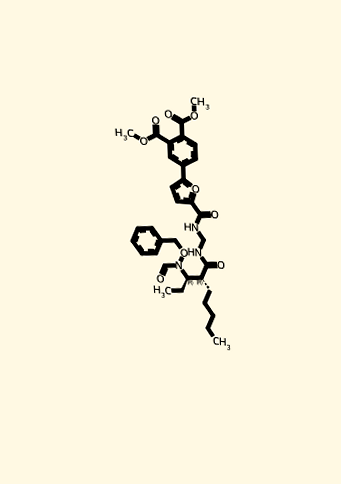 CCCCC[C@@H](C(=O)NCNC(=O)c1ccc(-c2ccc(C(=O)OC)c(C(=O)OC)c2)o1)[C@@H](CC)N(C=O)OCc1ccccc1